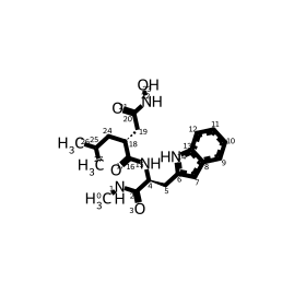 CNC(=O)[C@H](Cc1cc2ccccc2[nH]1)NC(=O)[C@@H](CC(=O)NO)CC(C)C